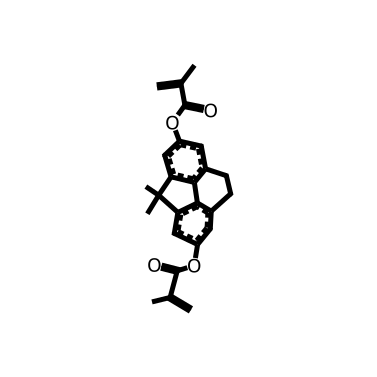 C=C(C)C(=O)Oc1cc2c3c(c1)C(C)(C)c1cc(OC(=O)C(=C)C)cc(c1-3)CC2